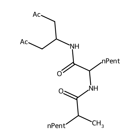 CCCCCC(C)C(=O)NC(CCCCC)C(=O)NC(CC(C)=O)CC(C)=O